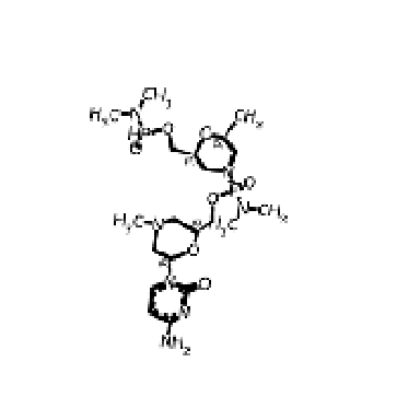 C[C@H]1CN(P(=O)(OC[C@@H]2CN(C)C[C@H](n3ccc(N)nc3=O)O2)N(C)C)C[C@@H](CO[PH](=O)N(C)C)O1